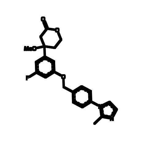 COC1(c2cc(F)cc(OCc3ccc(-n4ccnc4C)cc3)c2)CCOC(=O)C1